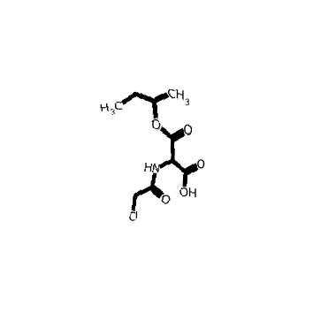 CCC(C)OC(=O)C(NC(=O)CCl)C(=O)O